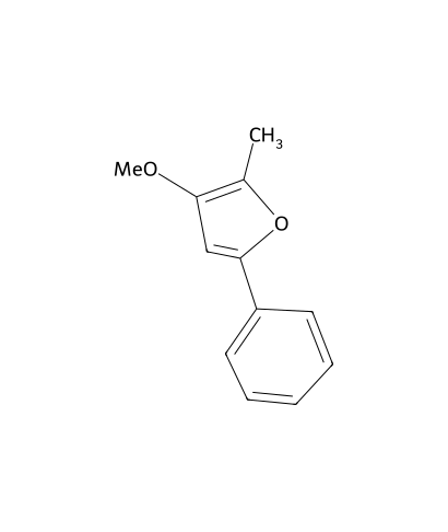 COc1cc(-c2ccccc2)oc1C